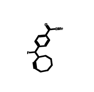 COC(=O)c1ccc(C(F)C2C#CCCCCC2)cc1